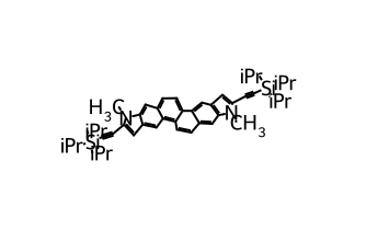 CC(C)[Si](C#Cc1cc2cc3c(ccc4c5cc6cc(C#C[Si](C(C)C)(C(C)C)C(C)C)n(C)c6cc5ccc34)cc2n1C)(C(C)C)C(C)C